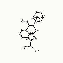 CC(C)n1nc2c3c(cncc31)C(C=O)[C@@H](C1CN3CCC1CC3)C2